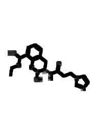 CCOC(O)c1cccc2c1OB(O)[C@@H](NC(=O)CCn1ccnc1)C2